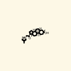 CC[C@]12CC[C@@](C)(O)C[C@@H]1CC[C@H]1[C@@H]3CC[C@H](C(=O)Cn4cc(C)cn4)[C@@]3(C)CC[C@@H]12